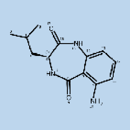 CC(C)C[C@@H]1NC(=O)c2c(N)cccc2NC1=O